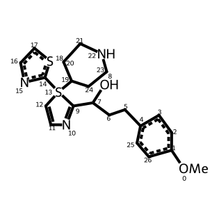 COc1ccc(CCC(O)C2=NC=CS2(c2nccs2)C2CCNCC2)cc1